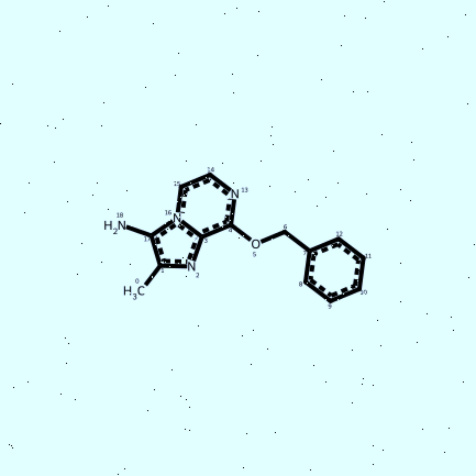 Cc1nc2c(OCc3ccccc3)nccn2c1N